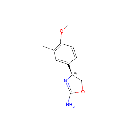 COc1ccc([C@H]2COC(N)=N2)cc1C